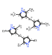 CCc1c[c]([Ru][c]2cc(CC)[nH]c2CC)c(CC)[nH]1.Cc1c[c]([Ru][c]2cc(C)[nH]c2C)c(C)[nH]1